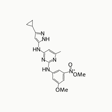 COc1cc(Nc2nc(C)cc(Nc3cc(C4CC4)n[nH]3)n2)cc([N+](=O)OC)c1